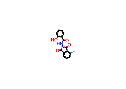 O=C(NN1C(=O)c2cccc(F)c2C1=O)c1ccccc1O